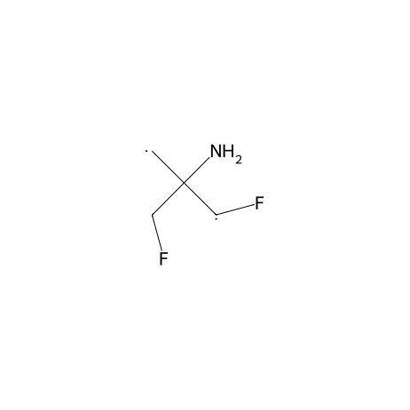 [CH2]C(N)([CH]F)CF